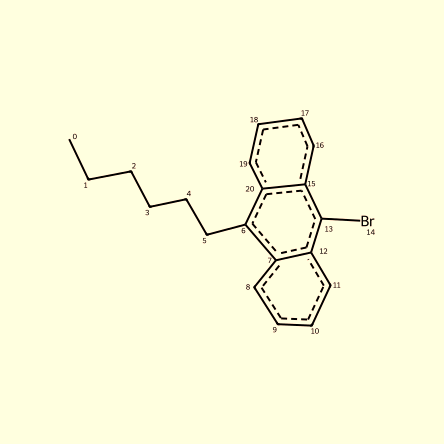 CCCCCCc1c2ccccc2c(Br)c2ccccc12